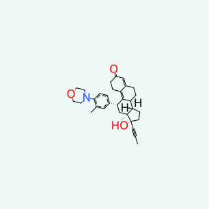 CC#C[C@]1(O)CC[C@H]2[C@@H]3CCC4=CC(=O)CCC4=C3[C@@H](c3ccc(N4CCOCC4)c(C)c3)C[C@@]21C